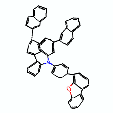 C1=CC(c2cccc3c2oc2ccccc23)CC=C1N(c1cccc(-c2ccc3ccccc3c2)c1)c1ccccc1-c1ccc(-c2ccc3ccccc3c2)cc1